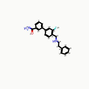 NC(=O)c1cccc(-c2ccc(CNCCc3ccccc3)c(F)c2)c1